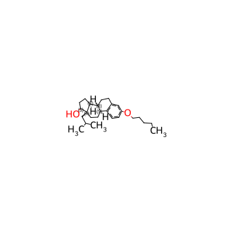 CCCCCOc1ccc2c(c1)CC[C@@H]1[C@@H]2CC[C@]2(CC(C)C)[C@@H](O)CC[C@@H]12